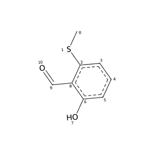 CSc1cccc(O)c1C=O